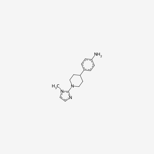 Cn1ccnc1N1CCC(c2ccc(N)cc2)CC1